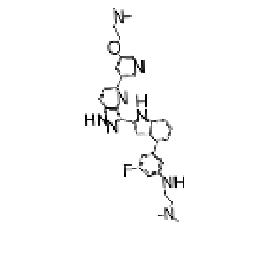 CN(C)CCNc1cc(F)cc(-c2cccc3[nH]c(-c4n[nH]c5ccc(-c6cncc(OCCN(C)C)c6)nc45)cc23)c1